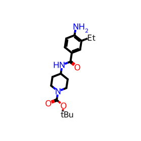 CCc1cc(C(=O)NC2CCN(C(=O)OC(C)(C)C)CC2)ccc1N